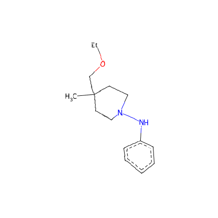 CCOCC1(C)CCN(Nc2ccccc2)CC1